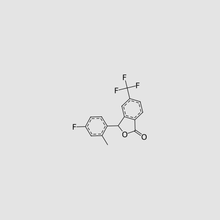 Cc1cc(F)ccc1C1OC(=O)c2ccc(C(F)(F)F)cc21